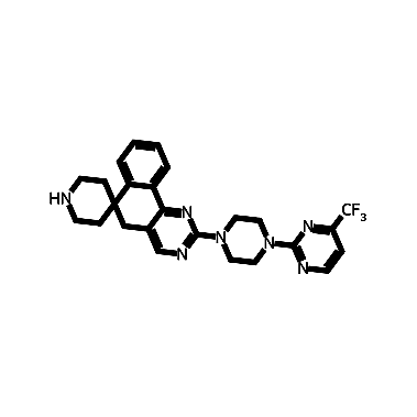 FC(F)(F)c1ccnc(N2CCN(c3ncc4c(n3)-c3ccccc3C3(CCNCC3)C4)CC2)n1